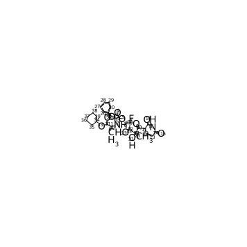 C[C@H](NP(=O)(OC[C@@]1(F)O[C@@H](C2C=CC(=O)NC2=O)[C@](C)(O)[C@@H]1O)Oc1ccccc1)C(=O)OC1CCCCC1